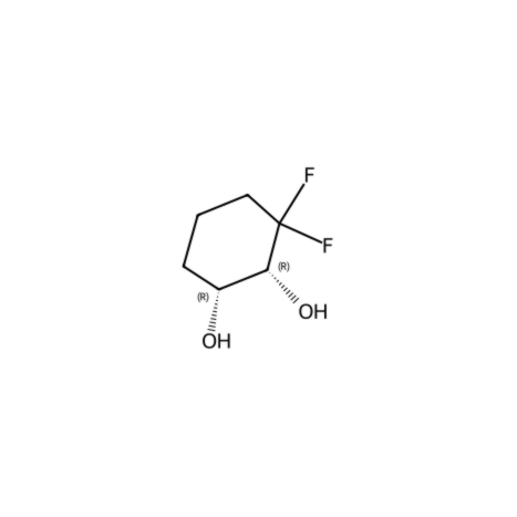 O[C@@H]1CCCC(F)(F)[C@@H]1O